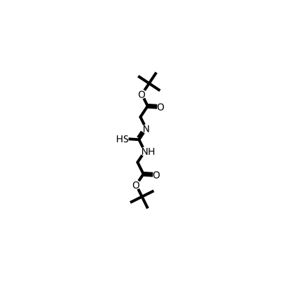 CC(C)(C)OC(=O)C/N=C(\S)NCC(=O)OC(C)(C)C